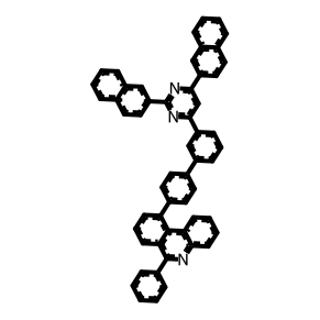 c1ccc(-c2nc3ccccc3c3c(-c4ccc(-c5cccc(-c6cc(-c7ccc8ccccc8c7)nc(-c7ccc8ccccc8c7)n6)c5)cc4)cccc23)cc1